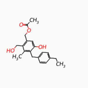 CCc1ccc(Cc2c(O)cc(COC(C)=O)c(CO)c2C)cc1